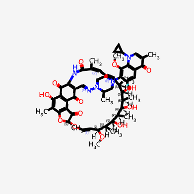 COc1c(N2CCN(/N=C/C3=C4NC(=O)/C(C)=C\C=C\[C@H](C)[C@H](O)[C@@H](C)[C@@H](O)[C@@H](C)[C@H](O)[C@H](C)[C@@H](OC)/C=C/O[C@@]5(C)Oc6c(C)c(O)c(c(c6C5=O)C3=O)C4=O)C(C)C2)c(F)cc2c(=O)c(C)cn(C3CC3)c12